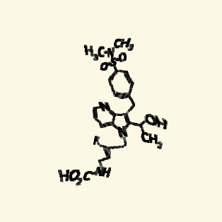 CC(O)c1c(Cc2ccc(S(=O)(=O)N(C)C)cc2)c2ncccc2n1CC(F)=CCNC(=O)O